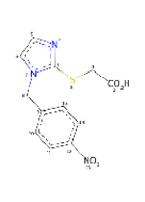 O=C(O)CSc1nccn1Cc1ccc([N+](=O)[O-])cc1